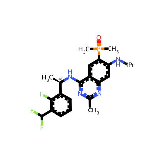 Cc1nc(N[C@H](C)c2cccc(C(F)F)c2F)c2cc(P(C)(C)=O)c(NC(C)C)cc2n1